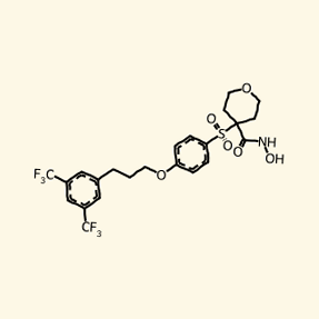 O=C(NO)C1(S(=O)(=O)c2ccc(OCCCc3cc(C(F)(F)F)cc(C(F)(F)F)c3)cc2)CCOCC1